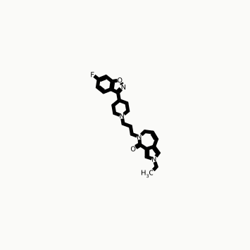 CCn1cc2c(c1)C(=O)N(CCCN1CCC(c3noc4cc(F)ccc34)CC1)CC=C2